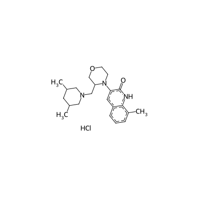 Cc1cccc2cc(N3CCOCC3CN3CC(C)CC(C)C3)c(=O)[nH]c12.Cl